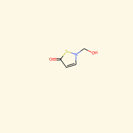 O=c1ccn(CO)s1